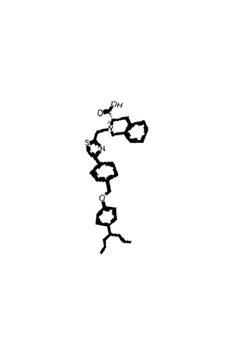 CCCC(CCC)c1ccc(OCc2ccc(-c3csc(CN4Cc5ccccc5C[C@H]4C(=O)O)n3)cc2)cc1